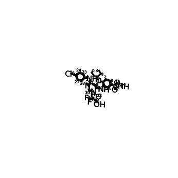 CCC(CC)Oc1ccc(S(=O)(=O)NC)cc1Nc1cc(Nc2ccc(Cl)cc2)ncn1.O=C(O)C(F)(F)F